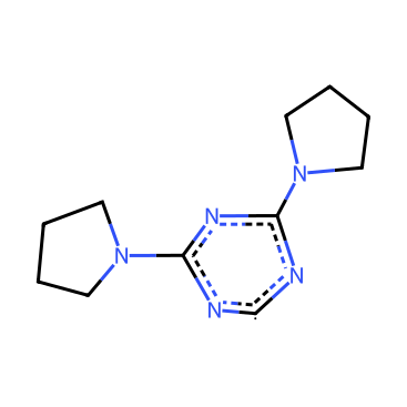 [c]1nc(N2CCCC2)nc(N2CCCC2)n1